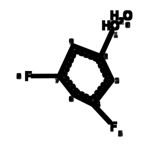 O.Oc1cc(F)cc(F)c1